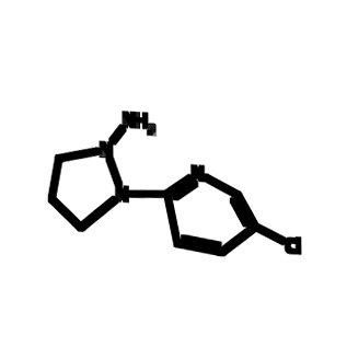 NN1CCCN1c1ccc(Cl)cn1